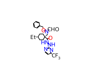 CC[C@H]1CC[C@](CN(C=O)OCc2ccccc2)(C(=O)NNc2nccc(C(F)(F)F)n2)CC1